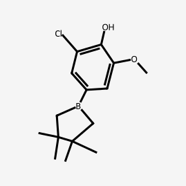 COc1cc(B2CC(C)(C)C(C)(C)C2)cc(Cl)c1O